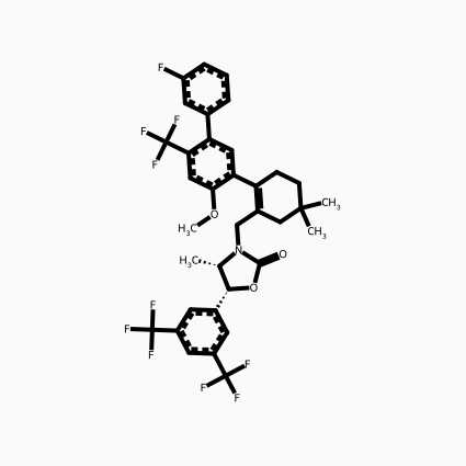 COc1cc(C(F)(F)F)c(-c2cccc(F)c2)cc1C1=C(CN2C(=O)O[C@H](c3cc(C(F)(F)F)cc(C(F)(F)F)c3)[C@@H]2C)CC(C)(C)CC1